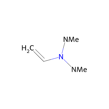 C=CN(NC)NC